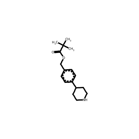 CC(C)(C)C(=O)OCc1ccc(C2CCNCC2)cc1